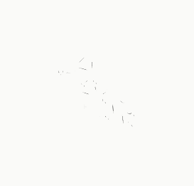 COc1cccc(F)c1-c1nccc(C(=O)Nc2cc(F)c3nn(C)cc3c2N2CCCC2CO)n1